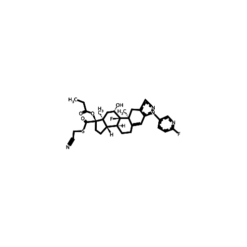 CCC(=O)O[C@]1(C(=O)SCC#N)CC[C@H]2[C@@H]3CCC4=Cc5c(cnn5-c5ccc(F)nc5)C[C@]4(C)[C@@]3(F)[C@@H](O)C[C@@]21C